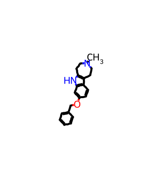 CN1CCc2[nH]c3cc(OCc4ccccc4)ccc3c2CC1